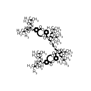 CC(C)(C)OC(=O)C[C@H](C(=O)OC(C)(C)C)N(CCOCCOCCN(C(=O)c1cccc2c1OCCCc1cc(NC(=NC(=O)OC(C)(C)C)NC(=O)OC(C)(C)C)ccc1C(=O)O2)[C@H](CC(=O)OC(C)(C)C)C(=O)OC(C)(C)C)C(=O)c1cccc2c1OCCCc1cc(NC(=NC(=O)OC(C)(C)C)NC(=O)OC(C)(C)C)ccc1C(=O)O2